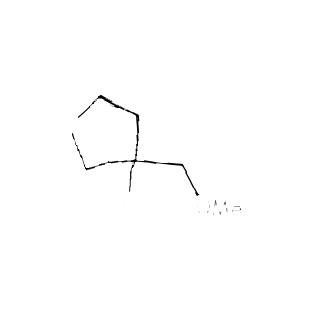 COCC1(O)CCOC1